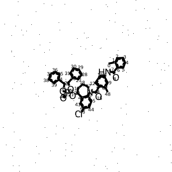 Cc1ccccc1C(=O)Nc1ccc(C(=O)N2CCCC(OP(=O)(OCc3ccccc3)OCc3ccccc3)c3cc(Cl)ccc32)c(C)c1